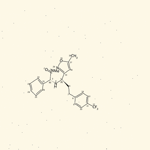 CNC(=O)[C@H](N[C@H](CCc1ccc(C(F)(F)F)cc1)c1cc(C)on1)c1ccccc1